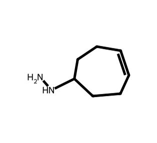 NNC1CCC=CCC1